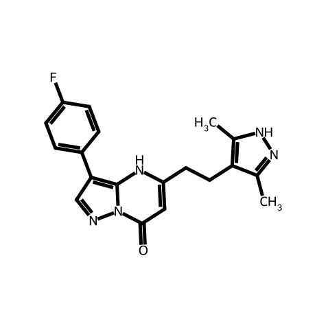 Cc1n[nH]c(C)c1CCc1cc(=O)n2ncc(-c3ccc(F)cc3)c2[nH]1